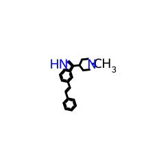 CN1CCC(c2c[nH]c3ccc(/C=C/c4ccccc4)cc23)CC1